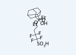 CCC(O)(CC)C12CC3CC(C1)C(C(=O)OCCC(F)(F)C(F)(F)S(=O)(=O)O)C(C3)C2